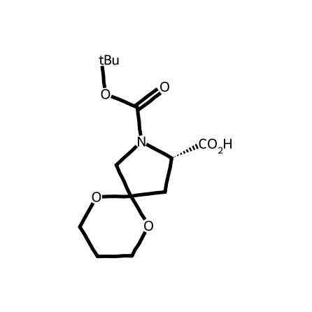 CC(C)(C)OC(=O)N1CC2(C[C@H]1C(=O)O)OCCCO2